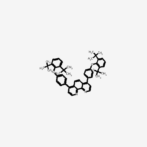 CC(C)(C)c1cccc(C(C)(C)C)c1Oc1ccc(-c2ccnc3c2ccc2c(-c4ccc(Oc5c(C(C)(C)C)cccc5C(C)(C)C)cc4)ccnc23)cc1